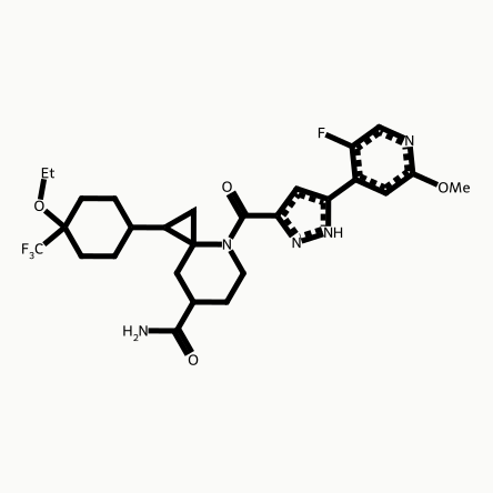 CCOC1(C(F)(F)F)CCC(C2CC23CC(C(N)=O)CCN3C(=O)c2cc(-c3cc(OC)ncc3F)[nH]n2)CC1